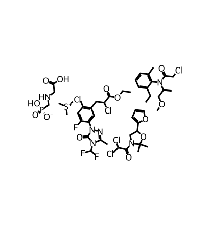 CC1(C)OC(c2ccco2)CN1C(=O)C(Cl)Cl.CCOC(=O)C(Cl)Cc1cc(-n2nc(C)n(C(F)F)c2=O)c(F)cc1Cl.CCc1cccc(C)c1N(C(=O)CCl)C(C)COC.C[S+](C)C.O=C(O)CNCP(=O)([O-])O